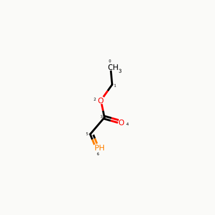 CCOC(=O)C=P